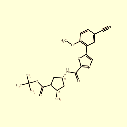 COc1ccc(C#N)cc1-c1cnc(C(=O)N[C@@H]2C[C@@H](C)N(C(=O)OC(C)(C)C)C2)o1